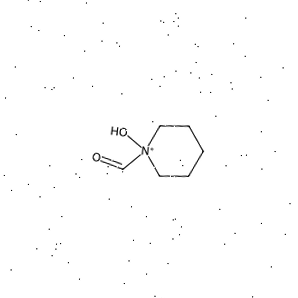 O=[C][N+]1(O)CCCCC1